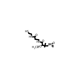 CC(C)(CO[SH](=O)=O)C(O)C(=O)NCCC(=O)NCCS.[CaH2]